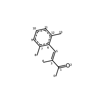 CC(=O)/C(C)=C/c1c(C)cccc1C